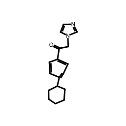 O=C(Cn1ccnc1)c1ccc(C2CCCCC2)cc1